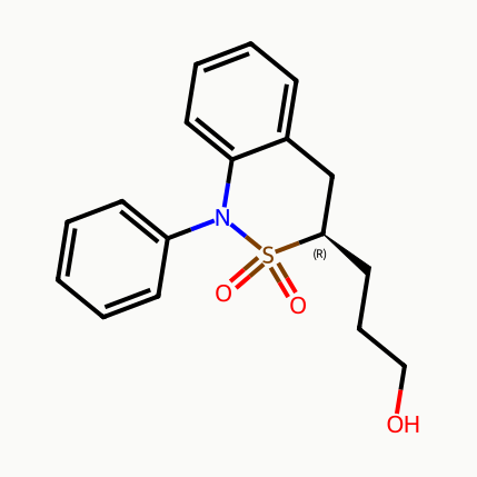 O=S1(=O)[C@H](CCCO)Cc2ccccc2N1c1ccccc1